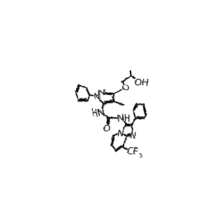 Cc1c(OCC(C)O)nn(-c2ccccc2)c1NC(=O)Nc1c(-c2ccccc2)nc2c(C(F)(F)F)cccn12